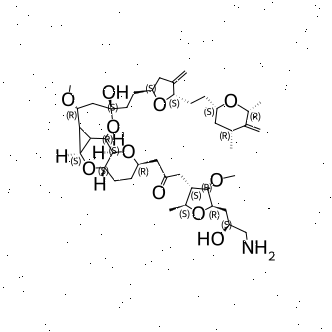 C=C1C[C@H](CC[C@@]2(O)C[C@@H](OC)C3C4[C@H]3O[C@H]3CC[C@H](CC(=O)C[C@@H]5[C@@H](OC)[C@@H](C[C@H](O)CN)O[C@H]5C)O[C@@H]3[C@@H]4O2)O[C@H]1CC[C@H]1C[C@@H](C)C(=C)[C@@H](C)O1